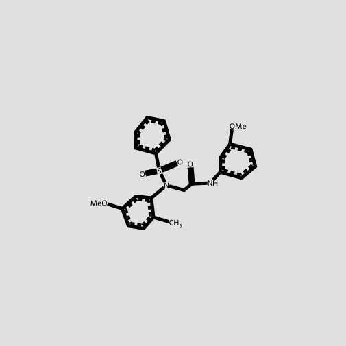 COc1cccc(NC(=O)CN(c2cc(OC)ccc2C)S(=O)(=O)c2ccccc2)c1